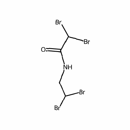 O=C(NCC(Br)Br)C(Br)Br